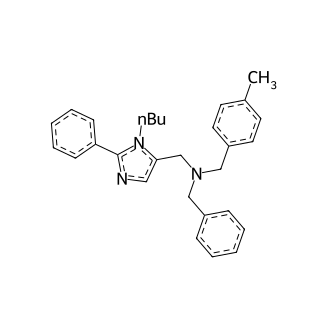 CCCCn1c(CN(Cc2ccccc2)Cc2ccc(C)cc2)cnc1-c1ccccc1